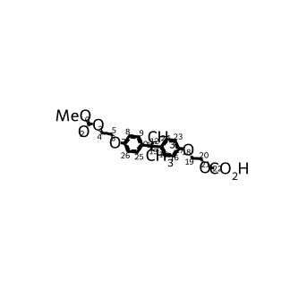 COC(=O)OCCOc1ccc(C(C)(C)c2ccc(OCCOC(=O)O)cc2)cc1